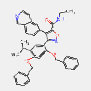 CCNC(=O)c1onc(-c2cc(C(C)C)c(OCc3ccccc3)cc2OCc2ccccc2)c1-c1ccc2cnccc2c1